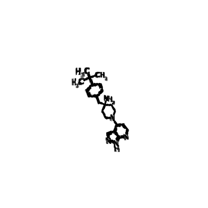 CC(C)(C)c1ccc(CC2(N)CCN(c3ccnc4[nH]ncc34)CC2)cc1